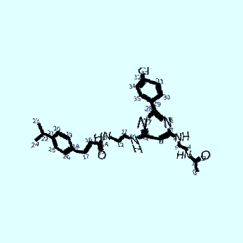 CC(=O)NCCNc1cc(NCCNC(=O)C=Cc2ccc(C(C)C)cc2)nc(-c2ccc(Cl)cc2)n1